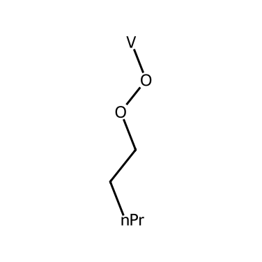 CCCCCO[O][V]